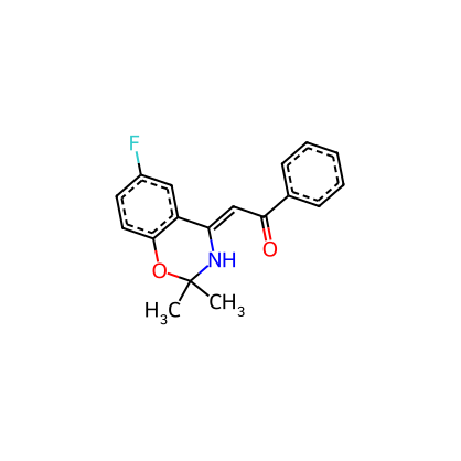 CC1(C)N/C(=C\C(=O)c2ccccc2)c2cc(F)ccc2O1